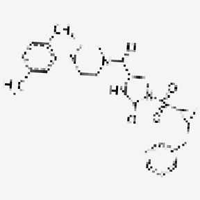 Cc1ccc(C)c(N2CCN(C(=O)C3CN(S(=O)(=O)C4CC4Cc4ccccc4)C(=O)N3)CC2)c1